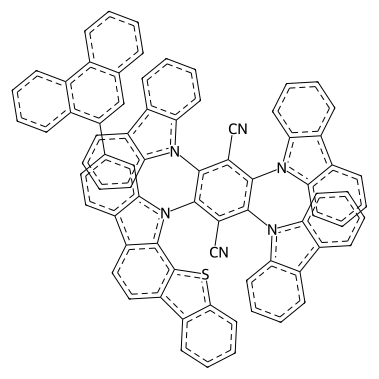 N#Cc1c(-n2c3ccccc3c3ccccc32)c(-n2c3ccccc3c3ccccc32)c(C#N)c(-n2c3cc(-c4cc5ccccc5c5ccccc45)ccc3c3ccc4c5ccccc5sc4c32)c1-n1c2ccccc2c2ccccc21